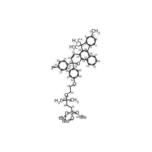 Cc1ccc2c(c1)C(C)(C)c1c3c(c4ccccc4c1-2)OC(c1ccc(F)cc1)(c1ccc(OCCOC(C)(C)CC[Si](OC(C)(C)C)(OC(C)(C)C)OC(C)(C)C)cc1)C=C3